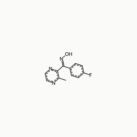 Cc1nccnc1/C(=N/O)c1ccc(F)cc1